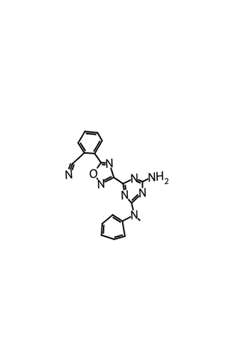 CN(c1ccccc1)c1nc(N)nc(-c2noc(-c3ccccc3C#N)n2)n1